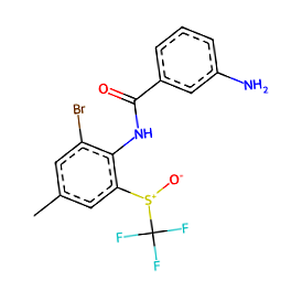 Cc1cc(Br)c(NC(=O)c2cccc(N)c2)c([S+]([O-])C(F)(F)F)c1